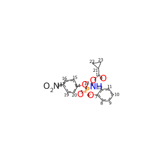 O=C(ONP(=O)(Oc1ccccc1)Oc1ccc([N+](=O)[O-])cc1)C1CC1